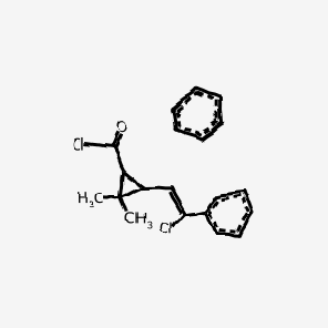 CC1(C)C(C=C(Cl)c2ccccc2)C1C(=O)Cl.c1ccccc1